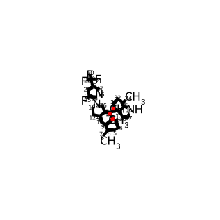 CCc1cccc(CC)c1/C=C1/CCN(c2ncc(C(F)(F)F)cc2F)C/C1=C(/C)c1ccc(C)c2[nH]ccc12